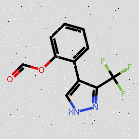 O=COc1ccccc1-c1c[nH]nc1C(F)(F)F